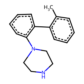 Cc1ccccc1-c1ccccc1N1CCNCC1